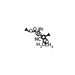 CC(C)C1CN(c2cc(C3CC3)c3c(c2C#N)CC(C)(C)OC3)CCN1C(=O)COCC1CC1